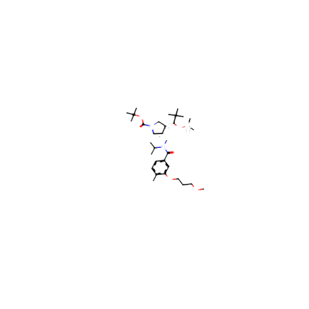 COCCCOc1cc(C(=O)N(C[C@@H]2CN(C(=O)OC(C)(C)C)C[C@H]2C(O[SiH](C)C)C(C)(C)C)C(C)C)ccc1C